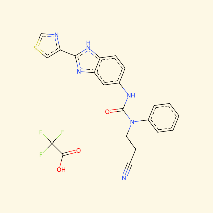 N#CCCN(C(=O)Nc1ccc2[nH]c(-c3cscn3)nc2c1)c1ccccc1.O=C(O)C(F)(F)F